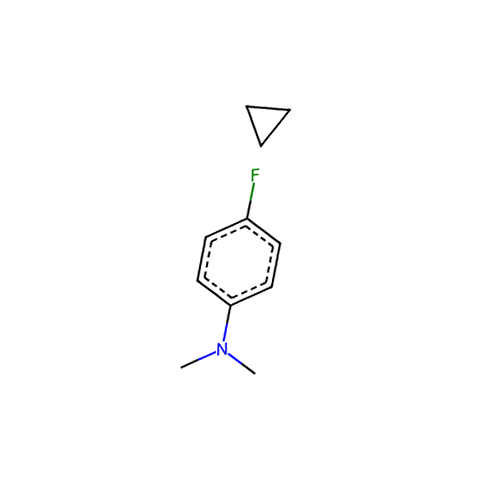 C1CC1.CN(C)c1ccc(F)cc1